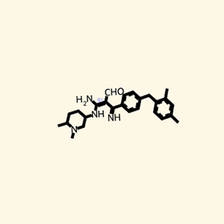 Cc1ccc(Cc2ccc(C(=N)/C(C=O)=C(/N)NC3CCC(C)N(C)C3)cc2)c(C)c1